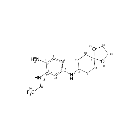 Nc1cnc(NC2CCC3(CC2)OCCO3)cc1NCC(F)(F)F